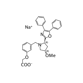 CO[C@@H]1C[C@H](c2nc(-c3ccccc3)c(-c3ccccc3)o2)N(Cc2cccc(OCC(=O)[O-])c2)C1.[Na+]